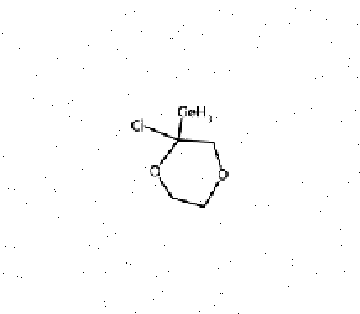 Cl[C]1([GeH3])COCCO1